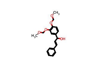 COCOc1ccc(C(O)C=Cc2ccccc2)cc1OCOC